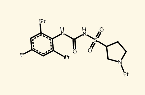 CCN1CCC(S(=O)(=O)NC(=O)Nc2c(C(C)C)cc(F)cc2C(C)C)C1